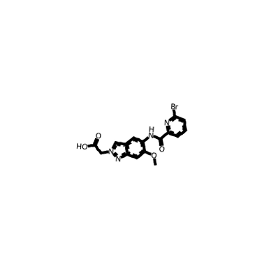 COc1cc2nn(CC(=O)O)cc2cc1NC(=O)c1cccc(Br)n1